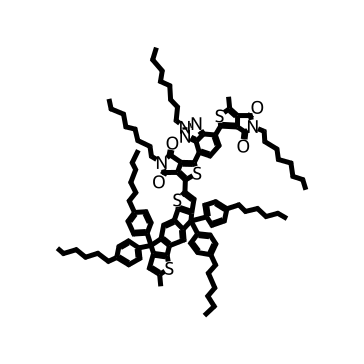 CCCCCCCCN1C(=O)c2c(C)sc(-c3ccc(-c4sc(-c5cc6c(s5)-c5cc7c(cc5C6(c5ccc(CCCCCC)cc5)c5ccc(CCCCCC)cc5)-c5sc(C)cc5C7(c5ccc(CCCCCC)cc5)c5ccc(CCCCCC)cc5)c5c4C(=O)N(CCCCCCCC)C5=O)c4nn(CCCCCCCC)nc34)c2C1=O